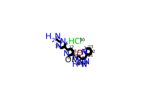 COc1nc(-c2cnc(CN)nc2)ccc1NC(=O)c1c(-c2ccccn2)nnn1C.Cl